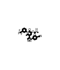 CNC(=O)Oc1cc(-c2cnnn2-c2ccc(C#N)cc2)c(C)n(-c2cccc(C(F)(F)F)c2)c1=O